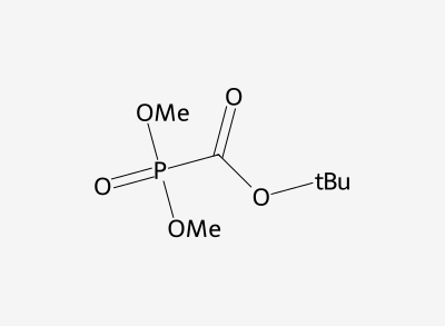 COP(=O)(OC)C(=O)OC(C)(C)C